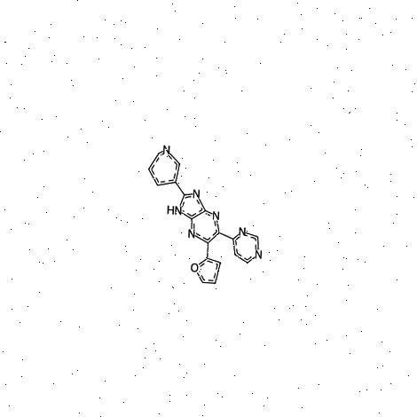 c1cncc(-c2nc3nc(-c4ccncn4)c(-c4ccco4)nc3[nH]2)c1